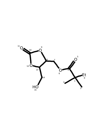 CCC(C)(C)C(=O)OCC1OC(=O)OC1CO